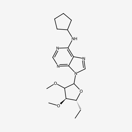 CC[C@H]1OC(n2cnc3c(NC4CCCC4)ncnc32)C(OC)[C@@H]1OC